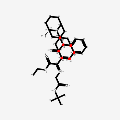 CCOC(=O)C(=NCC(=O)OC(C)(C)C)c1nc2ccccc2n(C2CC3CCC[C@H](C2)N3C2CC3CCCC(C3)C2)c1=O